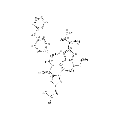 COCC(NC(=O)[C@@H]1C[C@@H](OC(F)F)CN1C(=O)CNC(=O)c1ccc(Oc2ccccc2)cc1)c1cc(C(=N)NOC(C)=O)cs1